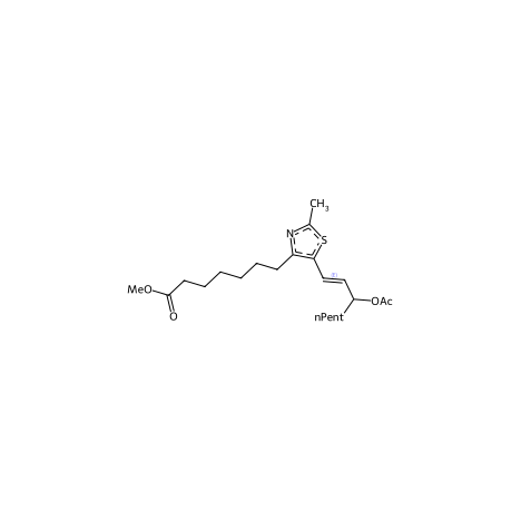 CCCCCC(/C=C/c1sc(C)nc1CCCCCCC(=O)OC)OC(C)=O